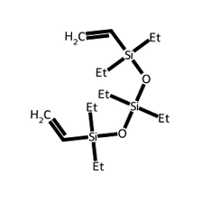 C=C[Si](CC)(CC)O[Si](CC)(CC)O[Si](C=C)(CC)CC